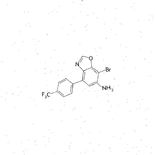 Nc1cc(-c2ccc(C(F)(F)F)cc2)c2ncoc2c1Br